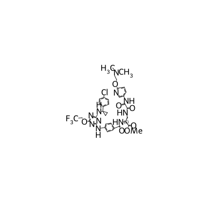 COC(=O)[C@H](CNC(=O)C(=O)Nc1ccc(OCCN(C)C)nc1)NC(=O)c1ccc(Nc2nc(NC3(c4ccc(Cl)cc4)CC3)nc(OCC(F)(F)F)n2)cc1